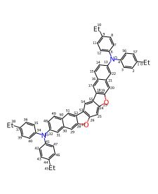 CCc1ccc(N(c2ccc(CC)cc2)c2ccc3cc4c(cc3c2)oc2cc3oc5cc6cc(N(c7ccc(CC)cc7)c7ccc(CC)cc7)ccc6cc5c3cc24)cc1